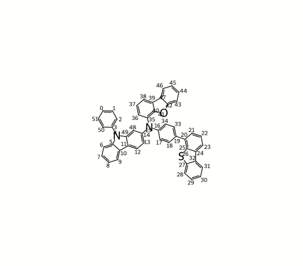 c1ccc(-n2c3ccccc3c3ccc(N(c4ccc(-c5cccc6c5sc5ccccc56)cc4)c4cccc5c4oc4ccccc45)cc32)cc1